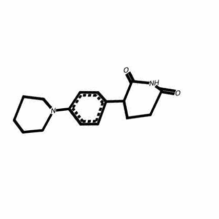 O=C1CCC(c2ccc(N3CCCCC3)cc2)C(=O)N1